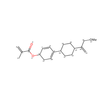 C=C(C)C(=O)OC1C=CC(C2CCC(C(=C)COC)CC2)=CC1